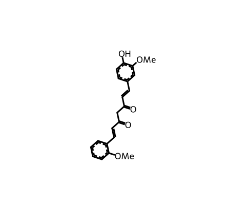 COc1cc(C=CC(=O)CC(=O)C=Cc2ccccc2OC)ccc1O